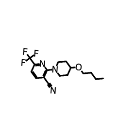 CCCCOC1CCN(c2nc(C(F)(F)F)ccc2C#N)CC1